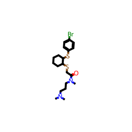 CN(C)CCCN(C)C(=O)CSC1CCCCC1Sc1ccc(Br)cc1